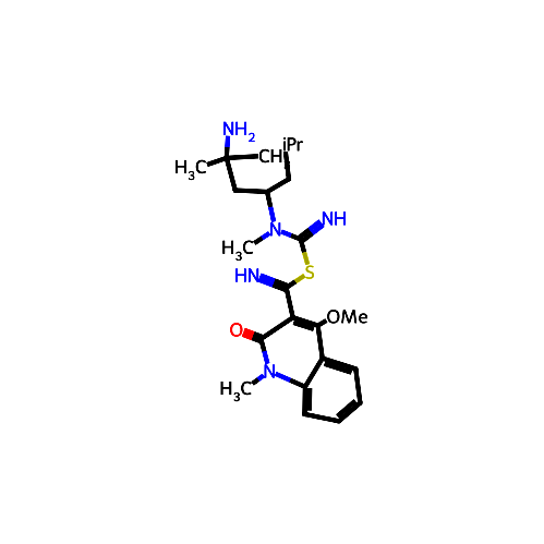 COc1c(C(=N)SC(=N)N(C)C(CC(C)C)CC(C)(C)N)c(=O)n(C)c2ccccc12